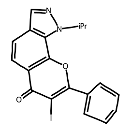 CC(C)n1ncc2ccc3c(=O)c(I)c(-c4ccccc4)oc3c21